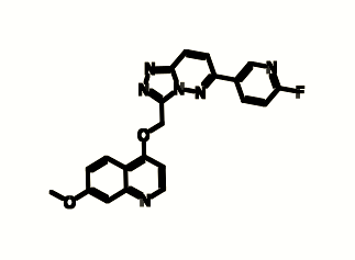 COc1ccc2c(OCc3nnc4ccc(-c5ccc(F)nc5)nn34)ccnc2c1